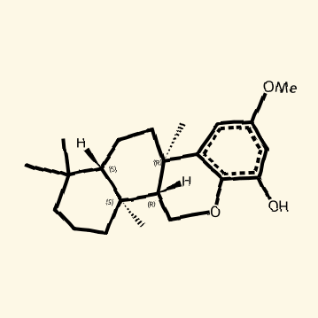 COc1cc(O)c2c(c1)[C@]1(C)CC[C@H]3C(C)(C)CCC[C@]3(C)[C@H]1CO2